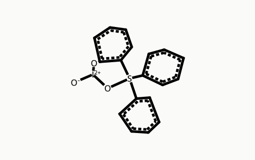 [O-][I+2]([O-])OS(c1ccccc1)(c1ccccc1)c1ccccc1